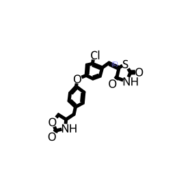 O=C1NC(Cc2ccc(Oc3ccc(/C=C4/SC(=O)NC4=O)c(Cl)c3)cc2)CO1